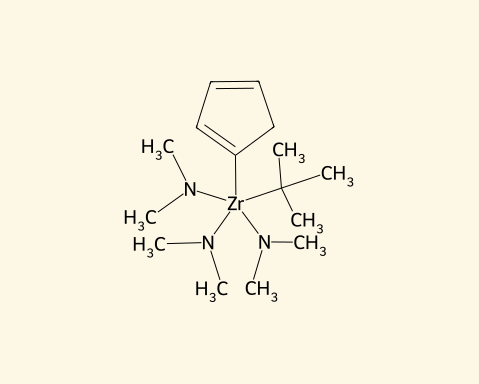 C[N](C)[Zr]([C]1=CC=CC1)([N](C)C)([N](C)C)[C](C)(C)C